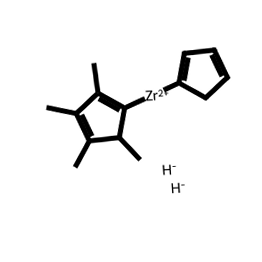 CC1=C(C)C(C)[C]([Zr+2][C]2=CC=CC2)=C1C.[H-].[H-]